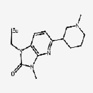 CN1CCCC(c2ccc3c(n2)n(C)c(=O)n3CC(C)(C)C)C1